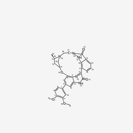 COc1ccc(-c2cc3c4nc(c(=O)[nH]c4c2)-c2cccc4c(=O)n([nH]c24)CCN2CC(C[C@H]2C)O3)cc1OC